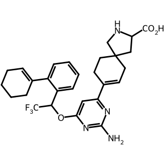 Nc1nc(OC(c2ccccc2C2=CCCCC2)C(F)(F)F)cc(C2=CCC3(CC2)CNC(C(=O)O)C3)n1